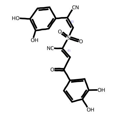 N#C/C(=C/S(=O)(=O)/C(C#N)=C/C(=O)c1ccc(O)c(O)c1)c1ccc(O)c(O)c1